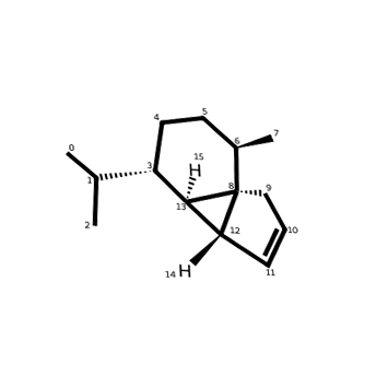 CC(C)[C@@H]1CC[C@@H](C)[C@@]23CC=C[C@@H]2[C@@H]13